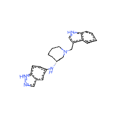 c1ccc2c(CN3CCC[C@@H](Nc4ccc5[nH]ncc5c4)C3)c[nH]c2c1